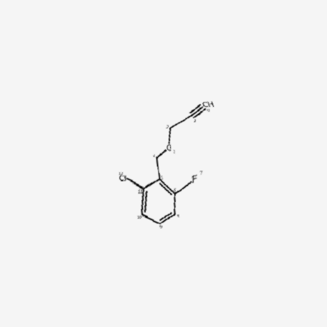 C#CCOCc1c(F)cccc1Cl